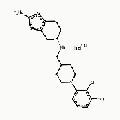 Cl.Cl.Nc1nc2c(s1)C[C@@H](NCC1CCN(c3cccc(Cl)c3Cl)CC1)CC2